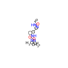 CC(C)(C)c1noc(C(=O)N[C@H]2CCCCc3cc(-c4ccnc(NC(=O)[C@@H]5CC56CCC6)c4)ccc32)n1